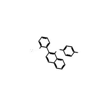 COc1ccccc1-c1ccc2ccccc2c1Oc1ccc(O)cc1